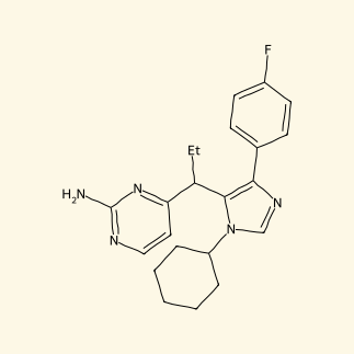 CCC(c1ccnc(N)n1)c1c(-c2ccc(F)cc2)ncn1C1CCCCC1